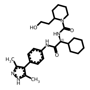 Cc1n[nH]c(C)c1-c1ccc(NC(=O)[C@@H](NC(=O)N2CCCCC2CCO)C2CCCCC2)cc1